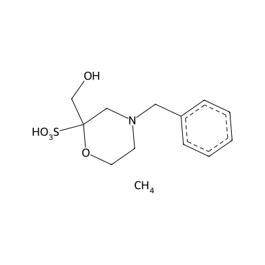 C.O=S(=O)(O)C1(CO)CN(Cc2ccccc2)CCO1